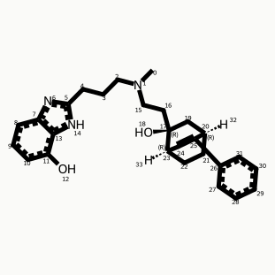 CN(CCCc1nc2cccc(O)c2[nH]1)CC[C@]1(O)C[C@H]2CC[C@@H]1C=C2c1ccccc1